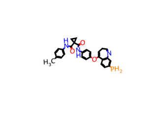 Cc1ccc(NC(=O)C2(C(=O)Nc3ccc(OC4=CCC=Nc5cc(P)ccc54)cc3)CC2)cc1